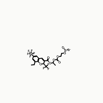 CCc1cc(S(F)(F)(F)(F)F)cc2c1OC(C(F)(F)F)C(C(=O)OC(C)OC(=O)OCCO[N+](=O)[O-])=C2